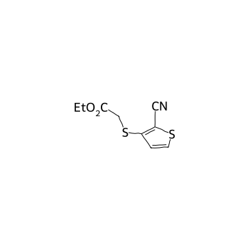 CCOC(=O)CSc1ccsc1C#N